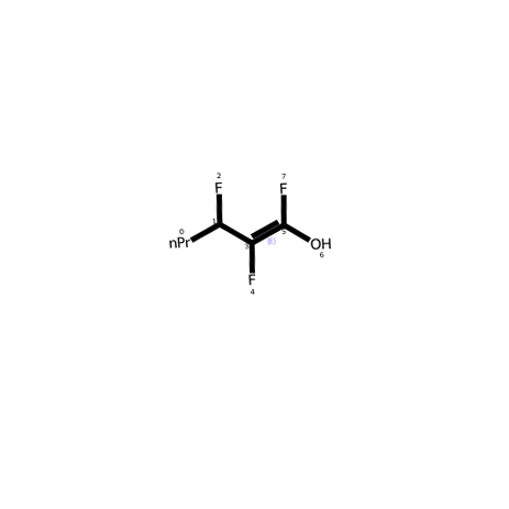 CCCC(F)/C(F)=C(/O)F